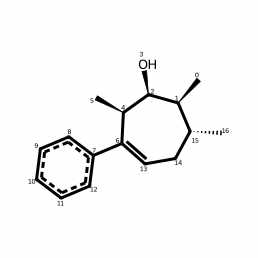 C[C@@H]1[C@H](O)[C@H](C)C(c2ccccc2)=CC[C@H]1C